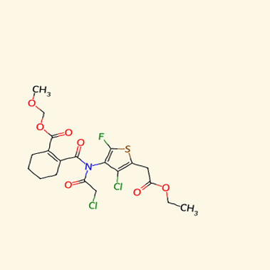 CCOC(=O)Cc1sc(F)c(N(C(=O)CCl)C(=O)C2=C(C(=O)OCOC)CCCC2)c1Cl